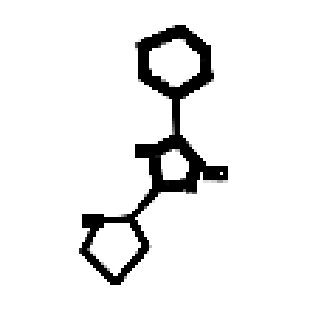 Cl.c1ccc(-c2cnc([C@@H]3CCCN3)[nH]2)cc1